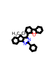 CC1(C)c2ccccc2-c2nc(-c3ccccc3)nc(-c3cccc4c3oc3ccccc34)c21